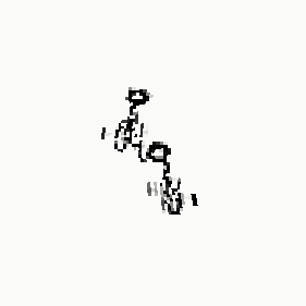 O=C(CCc1cccc(OCC[C@H](NC(=O)OCc2ccccc2)C(=O)O)c1)NC1=NCCCN1